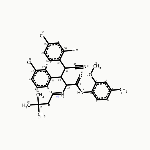 COc1cc(C)ccc1NC(=O)C(/N=C/CC(C)(C)C)C(c1cccc(Cl)c1F)C(C#N)c1ccc(Cl)cc1F